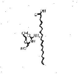 CCCCCCCCCCCCCCCCCC(=O)O.NC(=O)NC(CO)OCCO